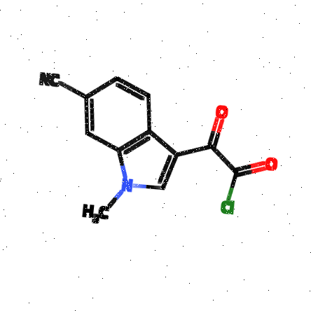 Cn1cc(C(=O)C(=O)Cl)c2ccc(C#N)cc21